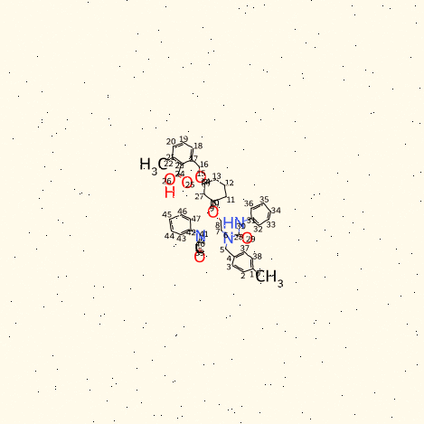 Cc1ccc(CN(CCO[C@H]2CCC[C@@H](OCc3cccc(C)c3C(=O)O)C2)C(=O)Nc2ccccc2)cc1.O=C=Nc1ccccc1